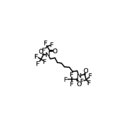 O=C(N(CCCCCCCCN(C(=O)C(F)(F)F)C(=O)C(F)(F)F)C(=O)C(F)(F)F)C(F)(F)F